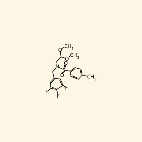 COC(CN(Cc1cc(F)c(F)c(F)c1)S(=O)(=O)c1ccc(C)cc1)OC